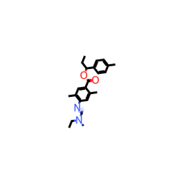 CCC(OC(=O)c1cc(C)c(/N=C/N(C)CC)cc1C)c1ccc(C)cc1